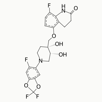 O=C1CCc2c(OC[C@]3(O)CCN(c4cc5c(cc4F)OC(F)(F)O5)C[C@H]3O)ccc(F)c2N1